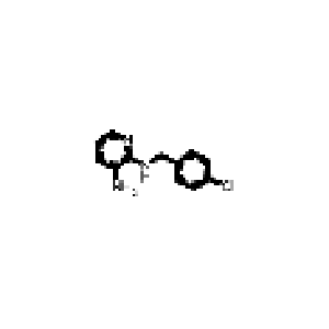 Nc1cccnc1NCc1ccc(Cl)cc1